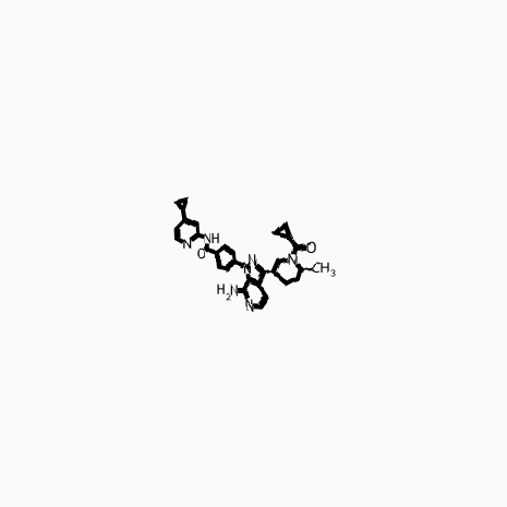 C[C@H]1CC[C@@H](c2nn(-c3ccc(C(=O)Nc4cc(C5CC5)ccn4)cc3)c3c(N)nccc23)CN1C(=O)C1CC1